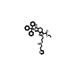 CCOC(=O)c1c2c(nn1CCCNCCc1cccs1)C1=CN(C(c3ccccc3)(c3ccccc3)c3ccccc3)NC1CC2